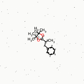 CC(Cc1ccccc1)B1OC(C)(C)C(C)(C)O1